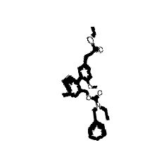 CCOC(=O)Cc1ccc(OC)c(-c2ccc(C)cc2COC(=O)N(CC)Cc2ccccc2)c1